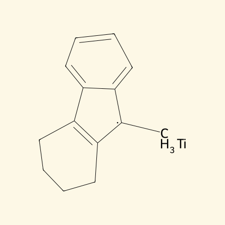 C[C]1C2=C(CCCC2)c2ccccc21.[Ti]